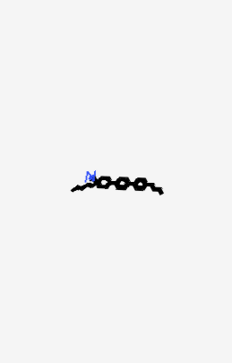 CCCCCC1(C#N)CCC(c2ccc(-c3ccc(CCCC)cc3)cc2)CC1